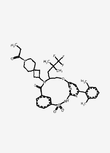 CCC(=O)N1CCC2(CC1)CC(N1C(=O)c3cccc(c3)S(=O)(=O)Nc3nc(cc(-c4c(C)cccc4C)n3)OCC1CC(C)(C)C(F)(F)F)C2